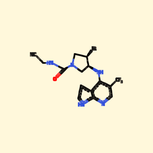 CC[C@@H]1CN(C(=O)NCC#N)C[C@@H]1Nc1c(C(F)(F)F)cnc2[nH]ccc12